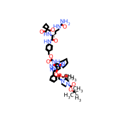 COCOc1ccccc1-c1cc(N2CC3CCC(C2)N3c2ccnc(OCCN3CCN(C(=O)OC(C)(C)C)C[C@H]3C)c2)c(NC(=O)OCc2ccc(NC(=O)[C@H](CCCNC(N)=O)NC(=O)C3(C=O)CCC3)cc2)nn1